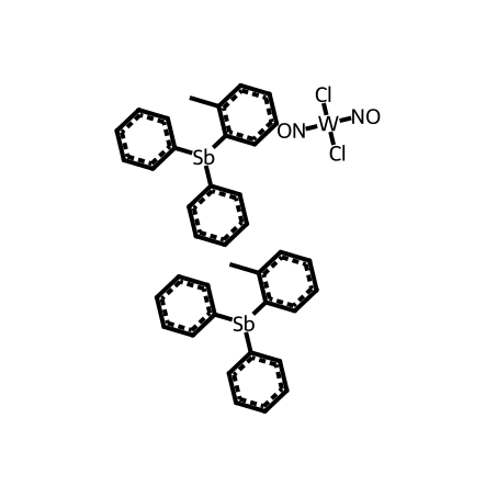 Cc1cccc[c]1[Sb]([c]1ccccc1)[c]1ccccc1.Cc1cccc[c]1[Sb]([c]1ccccc1)[c]1ccccc1.O=[N][W]([Cl])([Cl])[N]=O